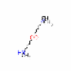 CNCCCCCCCOC(=O)CCCCCCCN(C)C